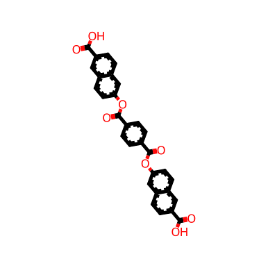 O=C(O)c1ccc2cc(OC(=O)c3ccc(C(=O)Oc4ccc5cc(C(=O)O)ccc5c4)cc3)ccc2c1